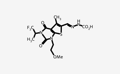 COCCn1c(=O)n(C(C)C(F)(F)F)c(=O)c2c(C)c(C=NNC(=O)O)sc21